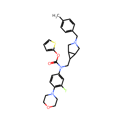 Cc1ccc(CN2CC3C(C2)C3CN(C(=O)Oc2cccs2)c2ccc(N3CCOCC3)c(F)c2)cc1